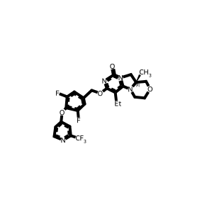 CCc1c(OCc2cc(F)c(Oc3ccnc(C(F)(F)F)c3)c(F)c2)nc(=O)n2c1N1CCOC[C@@]1(C)C2